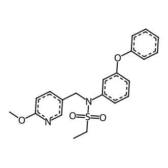 CCS(=O)(=O)N(Cc1ccc(OC)nc1)c1cccc(Oc2ccccc2)c1